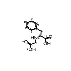 O=C(O)CNC(Cc1ccccn1)C(=O)O